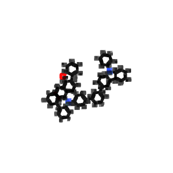 c1ccc(-c2ccccc2N(c2ccc(-c3cccc(-c4ccc5c(c4)c4ccccc4n5-c4ccccc4)c3)cc2)c2cccc3c2ccc2c4ccccc4oc32)cc1